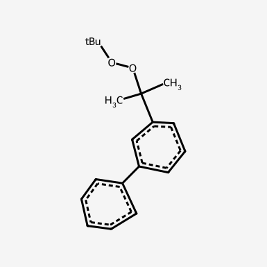 CC(C)(C)OOC(C)(C)c1cccc(-c2ccccc2)c1